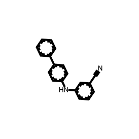 N#Cc1cccc(Nc2ccc(-c3ccccc3)cc2)c1